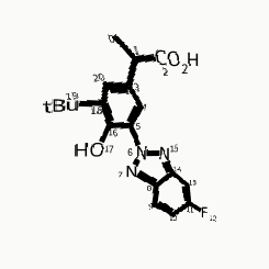 CC(C(=O)O)c1cc(-n2nc3ccc(F)cc3n2)c(O)c(C(C)(C)C)c1